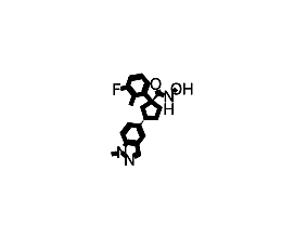 Cc1c(F)cccc1[C@]1(C(=O)NO)CC[C@H](c2ccc3c(cnn3C)c2)C1